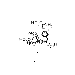 CSCC[C@H](N)C(=O)O.C[C@H](N)C(=O)O.N[C@@H](CO)C(=O)O.N[C@@H](Cc1ccccc1)C(=O)O